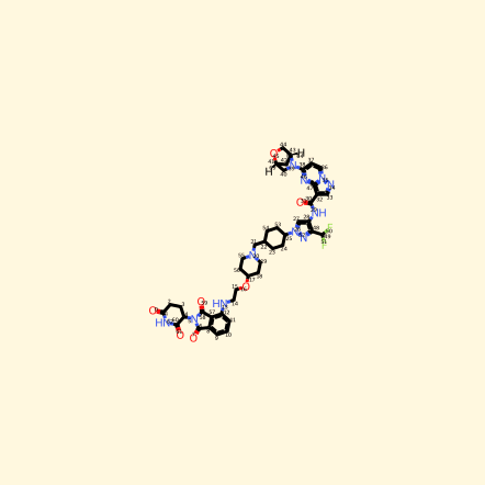 O=C1CCC(N2C(=O)c3cccc(NCCOC4CCN(CC5CCC(n6cc(NC(=O)c7cnn8ccc(N9C[C@H]%10C[C@@H]9CO%10)nc78)c(C(F)F)n6)CC5)CC4)c3C2=O)C(=O)N1